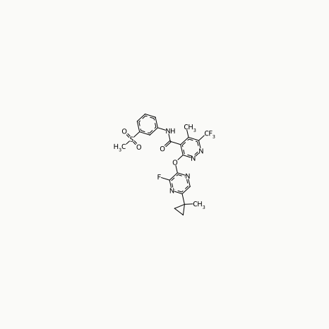 Cc1c(C(F)(F)F)nnc(Oc2ncc(C3(C)CC3)nc2F)c1C(=O)Nc1cccc(S(C)(=O)=O)c1